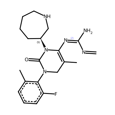 C=N/C(N)=N\C1=C(C)CN(c2c(C)cccc2F)C(=O)N1[C@H]1CCCCNC1